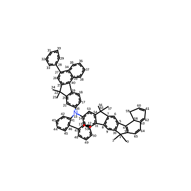 CC1(C)C2=C(c3cc4c(cc31)-c1ccc(N(c3ccc5c(c3)C(C)(C)c3cc(-c6ccccc6)c6ccccc6c3-5)c3ccccc3-c3ccccc3)cc1C4(C)C)C1CC=CC=C1C=C2